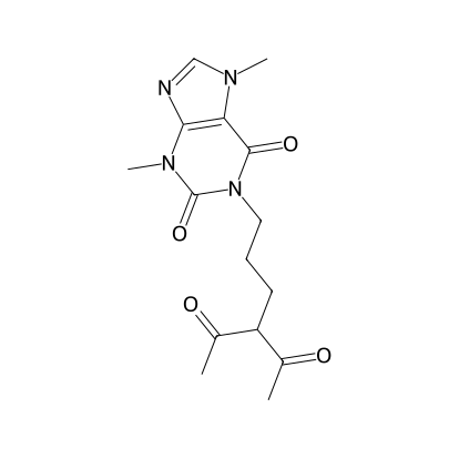 CC(=O)C(CCCn1c(=O)c2c(ncn2C)n(C)c1=O)C(C)=O